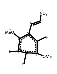 COc1c(C)c(C)c(OC)c(/C=C/[N+](=O)[O-])c1C